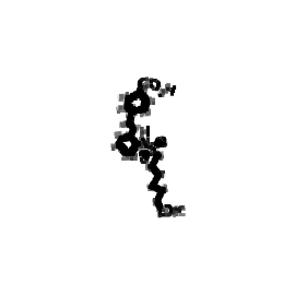 CCCCCCCCCCCCCCCCS(=O)(=O)Nc1ccccc1CCc1ccc(C(=O)O)cc1